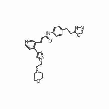 O=C(/C=C/c1cnccc1-c1cnn(CCN2CCOCC2)c1)Nc1ccc(CCc2nnco2)cc1